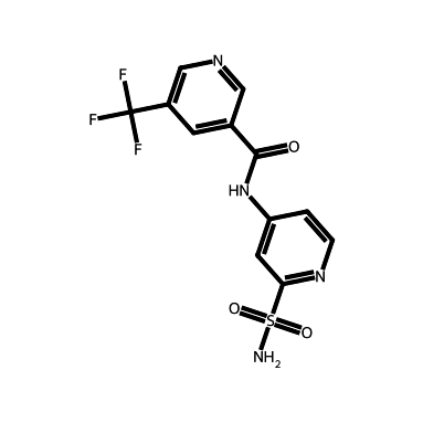 NS(=O)(=O)c1cc(NC(=O)c2cncc(C(F)(F)F)c2)ccn1